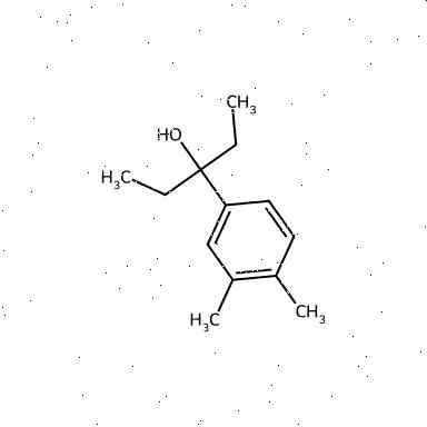 CCC(O)(CC)c1ccc(C)c(C)c1